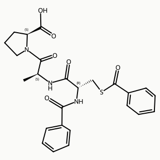 C[C@H](NC(=O)[C@H](CSC(=O)c1ccccc1)NC(=O)c1ccccc1)C(=O)N1CCC[C@H]1C(=O)O